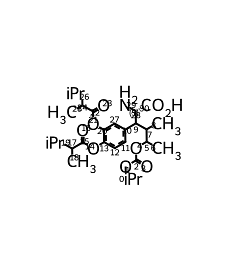 CC(C)OC(=O)OC(C)C(C)C(c1ccc(OC(=O)C(C)C(C)C)c(OC(=O)C(C)C(C)C)c1)[C@H](N)C(=O)O